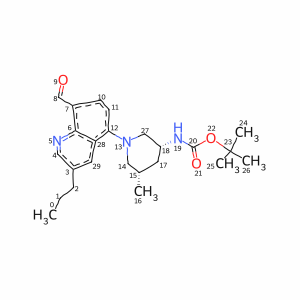 CCCc1cnc2c(C=O)ccc(N3C[C@@H](C)C[C@@H](NC(=O)OC(C)(C)C)C3)c2c1